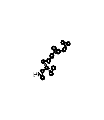 c1cc(-c2ccc3c(c2)c2ccccc2n3-c2ccc(-c3ccc4c(c3)c3ccccc3n4-c3cc(-c4ccc5[nH]c6ccccc6c5c4)cc(-n4c5ccccc5c5ccccc54)c3)cc2)cc(-n2c3ccccc3c3ccccc32)c1